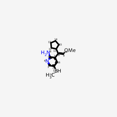 CBc1cnc(N)c(/C(=C/OC)C2CCCC2)c1